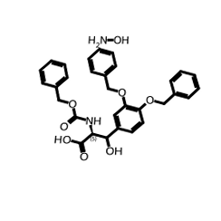 NO.O=C(N[C@H](C(=O)O)C(O)c1ccc(OCc2ccccc2)c(OCc2ccccc2)c1)OCc1ccccc1